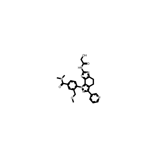 COCc1cc(C(=O)N(C)C)ccc1-n1nc(-c2cccnc2)c2c1-c1sc(NC(=O)CO)nc1CC2